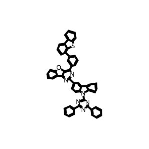 c1ccc(-c2nc(-c3ccccc3)nc(-n3c4ccccc4c4cc(-c5nc(-c6cccc(-c7cccc8c7sc7ccccc78)c6)c6oc7ccccc7c6n5)ccc43)n2)cc1